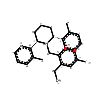 Cc1cccnc1[C@H]1CCC[C@@H](c2ncccc2C)N1Cc1ccc(F)cc1CO